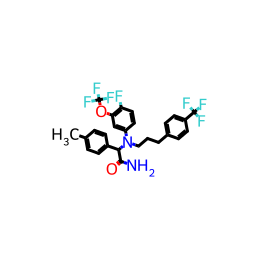 Cc1ccc(C(C(N)=O)N(CCCc2ccc(C(F)(F)F)cc2)c2ccc(F)c(OC(F)(F)F)c2)cc1